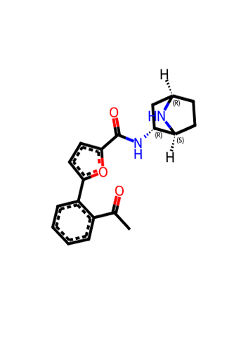 CC(=O)c1ccccc1-c1ccc(C(=O)N[C@@H]2C[C@H]3CC[C@@H]2N3)o1